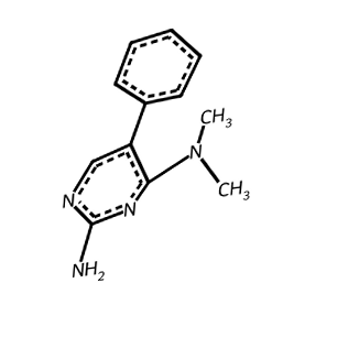 CN(C)c1nc(N)ncc1-c1ccccc1